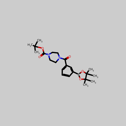 CC(C)(C)OC(=O)N1CCN(C(=O)c2cccc(B3OC(C)(C)C(C)(C)O3)c2)CC1